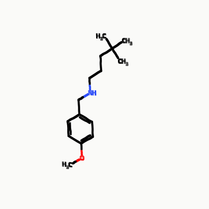 COc1ccc(CNCCCC(C)(C)C)cc1